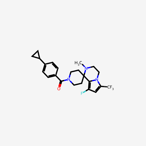 CN1CCn2c(C(F)(F)F)cc(F)c2C12CCN(C(=O)c1ccc(C3CC3)cc1)CC2